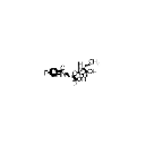 CCC[C@H](NC(=O)O[C@@H](CCNC(=O)c1ccc(F)cc1)C(=O)O)C(=O)O